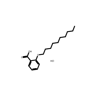 CCCCCCCCCCOc1ccccc1C(=O)O.Cl